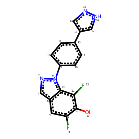 Oc1c(F)cc2cnn(-c3ccc(-c4cn[nH]c4)cc3)c2c1F